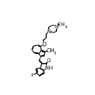 Cc1cc(C=C2C(=O)Nc3ccc(F)cc32)c2ccccc(OCCCN3CCN(C)CC3)c1-2